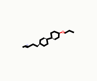 C/C=C/CC[C@H]1CC[C@H]([C@H]2CC[C@H](OCCC)CC2)CC1